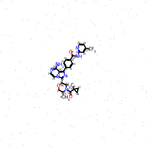 C[C@H]1CO[C@@H](c2nc(-c3ccc(C(=O)Nc4cc(C(F)(F)F)ccn4)cc3)c3c(N)nccn23)CN1C(=O)C1(C)CC1